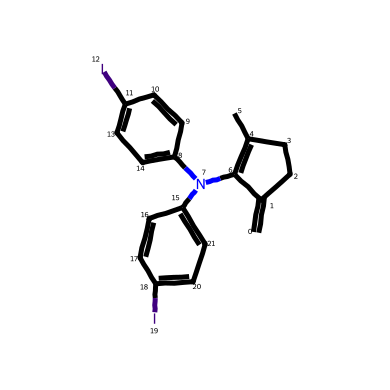 C=C1CCC(C)=C1N(c1ccc(I)cc1)c1ccc(I)cc1